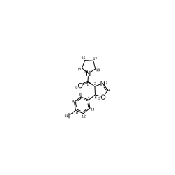 O=C([C@H]1N=COC1c1ccc(I)cc1)N1CCCC1